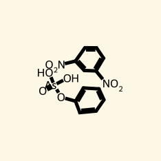 O=[As](O)(O)Oc1ccccc1.O=[N+]([O-])c1cccc([N+](=O)[O-])c1